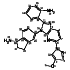 COc1cnn(-c2ccc3nc(-c4cccnc4N)n(-c4ccc5c(c4)CC[C@@H]5N)c3n2)c1